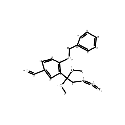 COC(CN=[N+]=[N-])(OC)c1cc(C=O)ccc1OCc1ccccc1